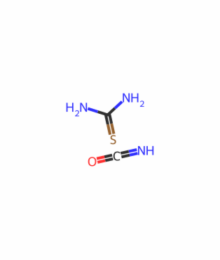 N=C=O.NC(N)=S